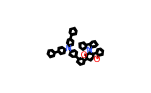 c1ccc(-c2ccc(N(c3ccc(-c4ccccc4)cc3)c3ccc(-c4cccc5c4oc4c(-n6c7ccccc7c7ccccc76)c6c(cc45)oc4ccccc46)cc3)cc2)cc1